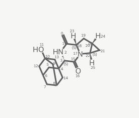 C=C1N[C@@H](C23CC4CC(CC(O)(C4)C2)C3)C(=O)N2[C@H]1C[C@@H]1C[C@@H]12